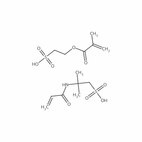 C=C(C)C(=O)OCCS(=O)(=O)O.C=CC(=O)NC(C)(C)CS(=O)(=O)O